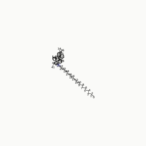 CCCCCCCCCCCCCCCCCCCCCCC/C=C\OC(CC)(NC(=O)OC(C)(C)C)C(=O)OCC